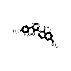 COc1c(-c2ccc(C)cc2)ncnc1N1C=Cc2cc(CN)ccc2C1N